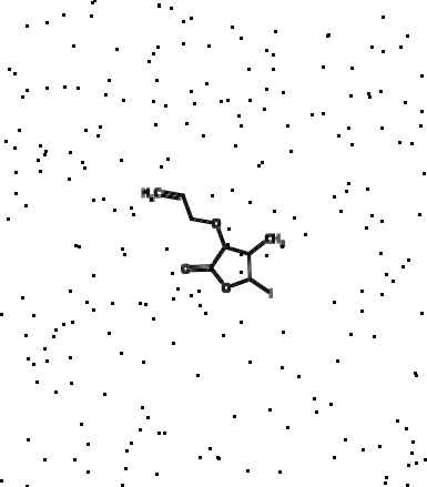 C=CCOC1C(=O)OC(I)C1C